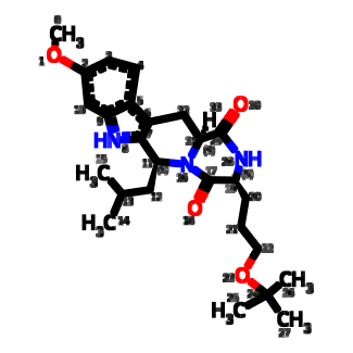 COc1ccc2c3c([nH]c2c1)[C@H](CC(C)C)N1C(=O)[C@H](CCCOC(C)(C)C)NC(=O)[C@@H]1C3